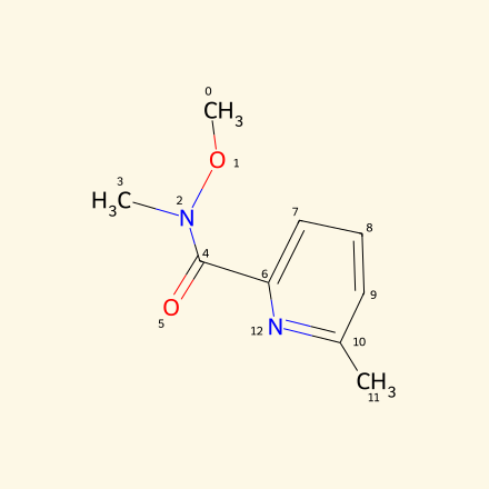 CON(C)C(=O)c1cccc(C)n1